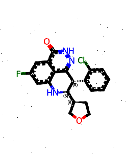 O=c1[nH]nc2c3c(cc(F)cc13)N[C@H]([C@H]1CCOC1)[C@H]2c1ccccc1Cl